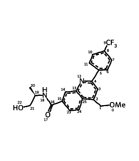 COCc1cc(-c2ccc(C(F)(F)F)cc2)nc2cc(C(=O)N[C@H](C)CO)ccc12